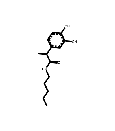 CCCCCNC(=O)C(C)c1ccc(O)c(O)c1